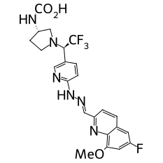 COc1cc(F)cc2ccc(C=NNc3ccc([C@@H](N4CC[C@H](NC(=O)O)C4)C(F)(F)F)cn3)nc12